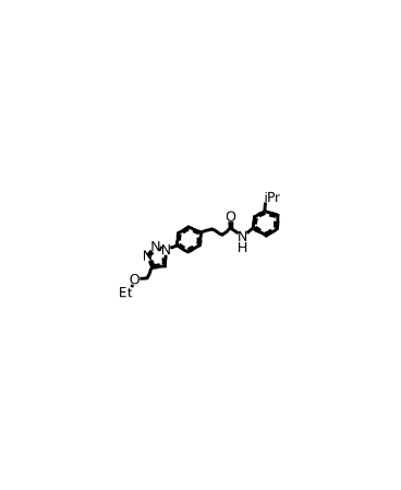 CCOCc1cn(-c2ccc(CCC(=O)Nc3cccc(C(C)C)c3)cc2)nn1